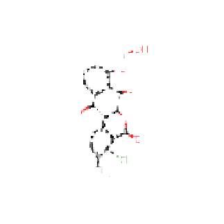 Cc1ccc2c3c(oc(=O)c2c1Cl)C(=O)c1c(OCO)cccc1C3=O